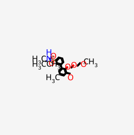 COCCOCOc1c(C=O)cc(C)cc1-c1cccc(S(=O)(=O)NC(C)(C)C)c1